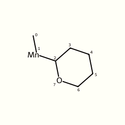 [CH3][Mn][CH]1CCCCO1